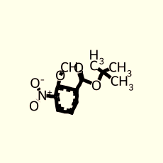 COc1c(C(=O)OC(C)(C)C)cccc1[N+](=O)[O-]